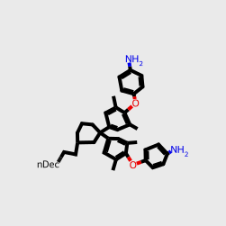 CCCCCCCCCCCCC1CCCC(c2cc(C)c(Oc3ccc(N)cc3)c(C)c2)(c2cc(C)c(Oc3ccc(N)cc3)c(C)c2)C1